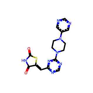 O=C1NC(=O)C(=Cc2ncnc(N3CCN(c4cncnc4)CC3)n2)S1